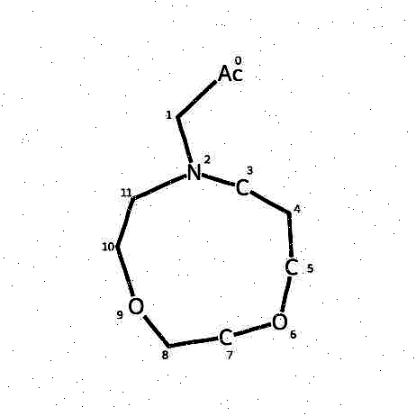 CC(=O)CN1CCCOCCOCC1